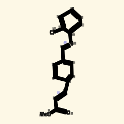 COC(=O)/C=C/c1ccc(/C=N/c2ccccc2Cl)cc1